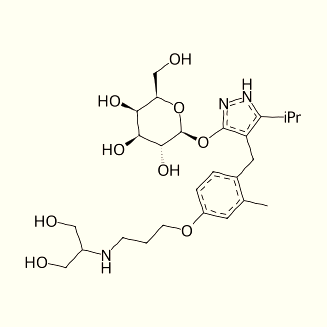 Cc1cc(OCCCNC(CO)CO)ccc1Cc1c(O[C@@H]2O[C@H](CO)[C@H](O)[C@H](O)[C@H]2O)n[nH]c1C(C)C